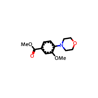 COC(=O)c1ccc(N2CCOCC2)c(OC)c1